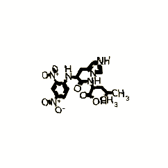 CC(C)CC(NC(=O)C(Cc1c[nH]cn1)Nc1ccc([N+](=O)[O-])cc1[N+](=O)[O-])C(=O)O